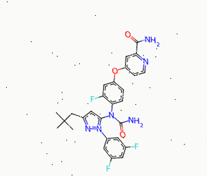 CC(C)(C)Cc1cc(N(C(N)=O)c2ccc(Oc3ccnc(C(N)=O)c3)cc2F)n(-c2cc(F)cc(F)c2)n1